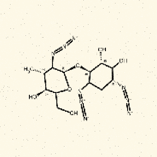 C[C@@H]1C(N=[N+]=[N-])[C@@H](O[C@@H]2C(N=[N+]=[N-])C[C@@H](N=[N+]=[N-])C(O)[C@H]2O)OC(CO)[C@H]1O